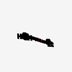 CCC1(CCCCCCCCCCCCCCCCCCCOP(=O)(O)O)CO1